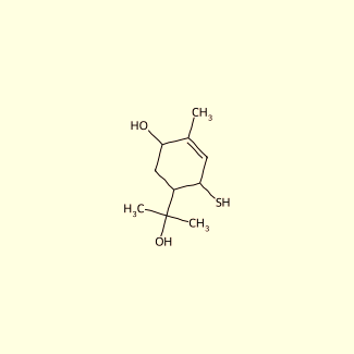 CC1=CC(S)C(C(C)(C)O)CC1O